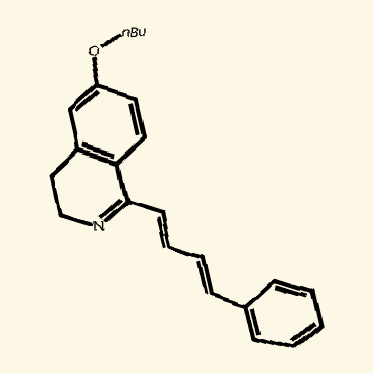 CCCCOc1ccc2c(c1)CCN=C2/C=C/C=C/c1ccccc1